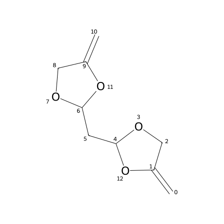 C=C1COC(CC2OCC(=C)O2)O1